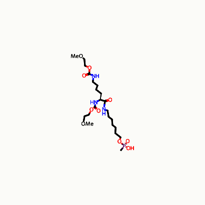 COCCOC(=O)NCCCC[C@H](NC(=O)OCCOC)C(=O)NCCCCCCCOP(C)(=O)O